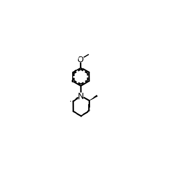 COc1ccc(N2[CH]CCC[C@@H]2C)cc1